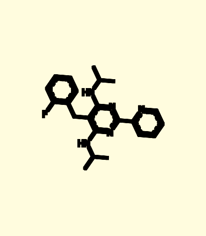 CC(C)Nc1nc(-c2ccccn2)nc(NC(C)C)c1Cc1ccccc1F